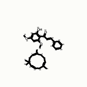 CC1=CCCC(C)=CCC(C)(C)C=CC1.COc1cc(O)c(C(=O)C=Cc2ccccc2)c(OC)c1